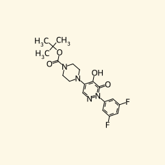 CC(C)(C)OC(=O)N1CCN(c2cnn(-c3cc(F)cc(F)c3)c(=O)c2O)CC1